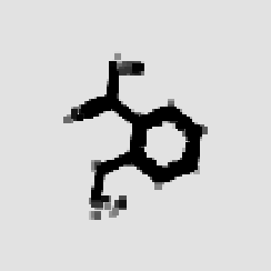 COC(=O)c1ccccc1CS(=O)(=O)O